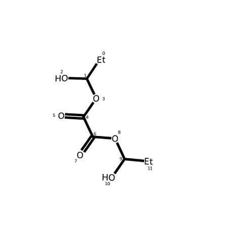 CCC(O)OC(=O)C(=O)OC(O)CC